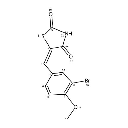 COc1ccc(C=C2SC(=O)NC2=O)cc1Br